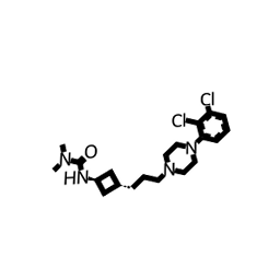 CN(C)C(=O)N[C@H]1C[C@H](CCCN2CCN(c3cccc(Cl)c3Cl)CC2)C1